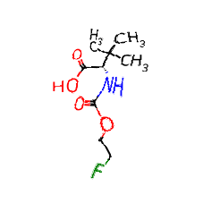 CC(C)(C)[C@H](NC(=O)OCCF)C(=O)O